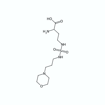 NC(CCNS(=O)(=O)NCCCN1CCOCC1)C(=O)O